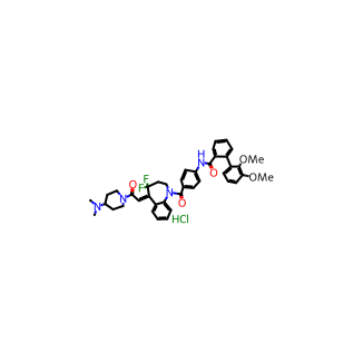 COc1cccc(-c2ccccc2C(=O)Nc2ccc(C(=O)N3CCC(F)(F)/C(=C\C(=O)N4CCC(N(C)C)CC4)c4ccccc43)cc2)c1OC.Cl